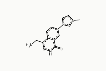 Cn1ccc(-c2ccc3c(CN)n[nH]c(=O)c3c2)c1